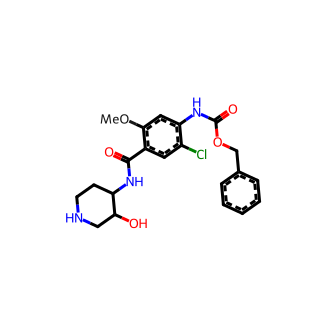 COc1cc(NC(=O)OCc2ccccc2)c(Cl)cc1C(=O)NC1CCNCC1O